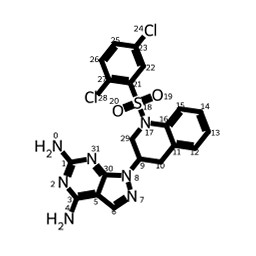 Nc1nc(N)c2cnn(C3Cc4ccccc4N(S(=O)(=O)c4cc(Cl)ccc4Cl)C3)c2n1